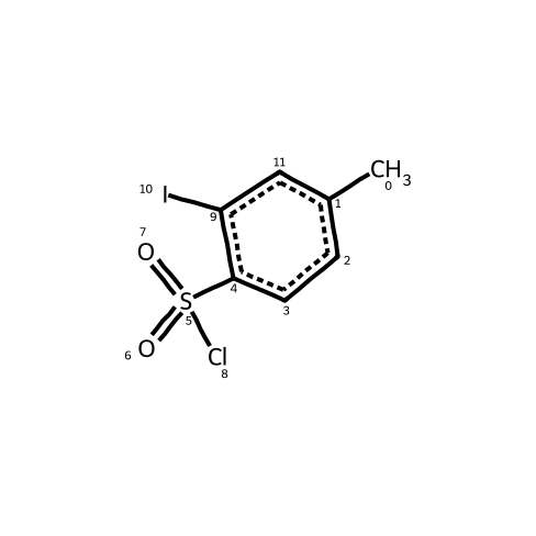 Cc1ccc(S(=O)(=O)Cl)c(I)c1